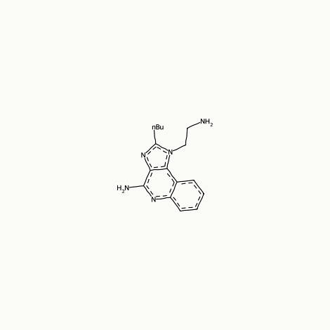 CCCCc1nc2c(N)nc3ccccc3c2n1CCN